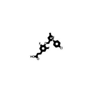 Cc1cc(COc2c(F)cc(CCC(=O)O)cc2F)n(-c2ccc(Cl)cc2)n1